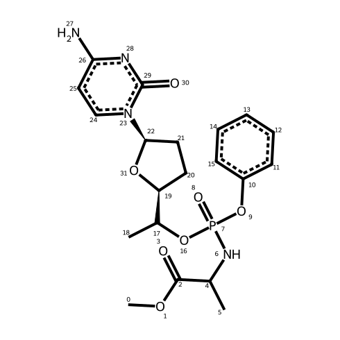 COC(=O)C(C)NP(=O)(Oc1ccccc1)OC(C)[C@@H]1CC[C@H](n2ccc(N)nc2=O)O1